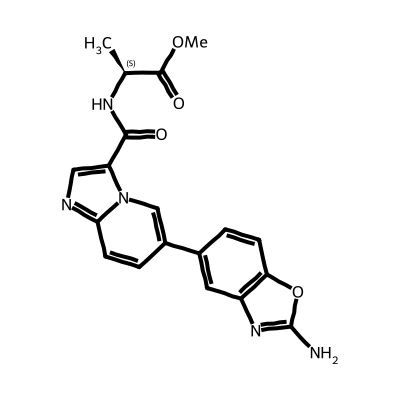 COC(=O)[C@H](C)NC(=O)c1cnc2ccc(-c3ccc4oc(N)nc4c3)cn12